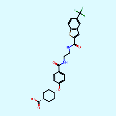 O=C(NCCNC(=O)c1cc2cc(C(F)(F)F)ccc2s1)c1ccc(O[C@H]2CC[C@@H](C(=O)O)CC2)cc1